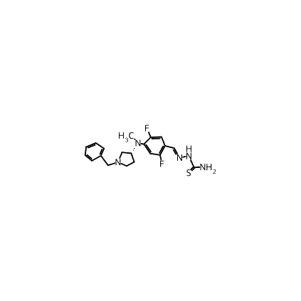 CN(c1cc(F)c(C=NNC(N)=S)cc1F)[C@@H]1CCN(Cc2ccccc2)C1